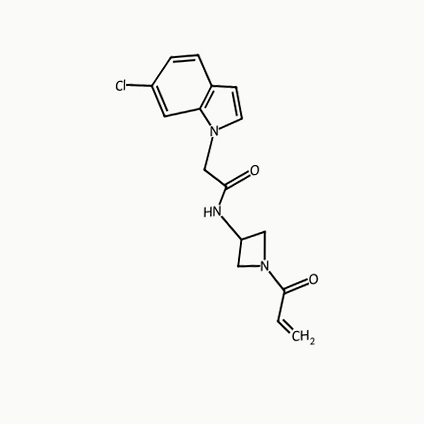 C=CC(=O)N1CC(NC(=O)Cn2ccc3ccc(Cl)cc32)C1